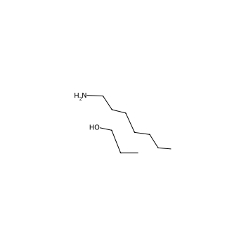 CCCCCCCN.CCCO